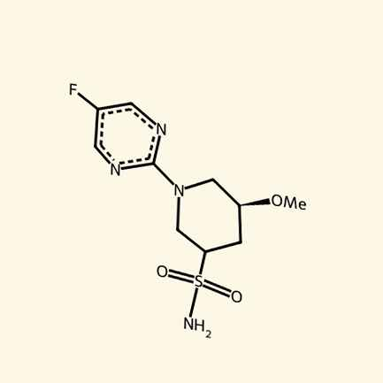 CO[C@H]1CC(S(N)(=O)=O)CN(c2ncc(F)cn2)C1